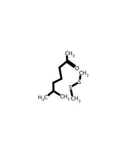 CC(=O)CCCC(C)C.CSSC